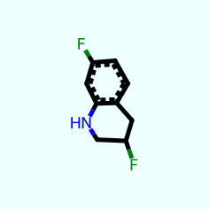 Fc1ccc2c(c1)NCC(F)C2